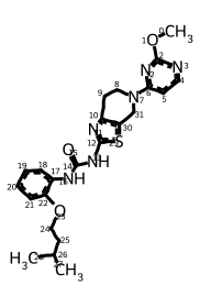 COc1nccc(N2CCc3nc(NC(=O)Nc4ccccc4OCCC(C)C)sc3C2)n1